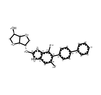 O[C@@H]1COC2C1OC[C@@H]2Oc1nc2c(F)c(-c3ccc(-c4ccccc4)cc3)c(F)cc2[nH]1